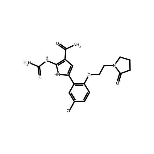 NC(=O)Nc1[nH]c(-c2cc(Cl)ccc2OCCN2CCCC2=O)cc1C(N)=O